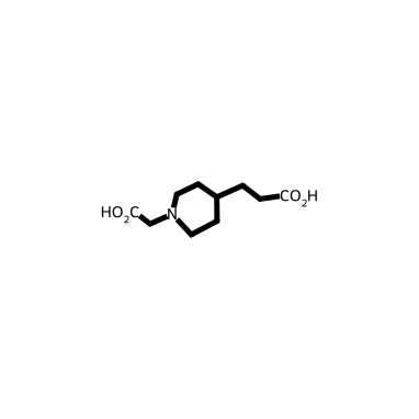 O=C(O)CCC1CCN(CC(=O)O)CC1